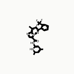 CC1=CC(C)NC(NC(=O)c2cnc3c(C)cc(-c4ccccc4C(F)(F)F)nn23)=C1